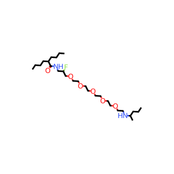 CCCCC(CCCC)C(=O)NCC(F)COCCOCCOCCOCCOCCNC(C)CCC